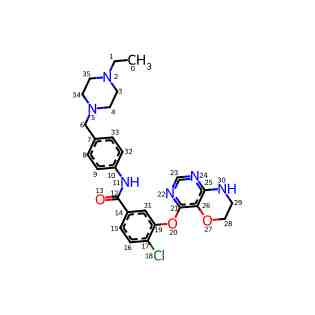 CCN1CCN(Cc2ccc(NC(=O)c3ccc(Cl)c(Oc4ncnc5c4OCCN5)c3)cc2)CC1